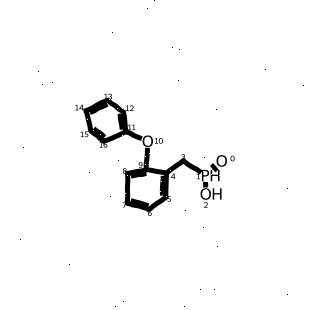 O=[PH](O)Cc1ccccc1Oc1ccccc1